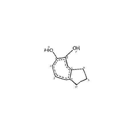 Oc1ccc2c(c1O)CCC2